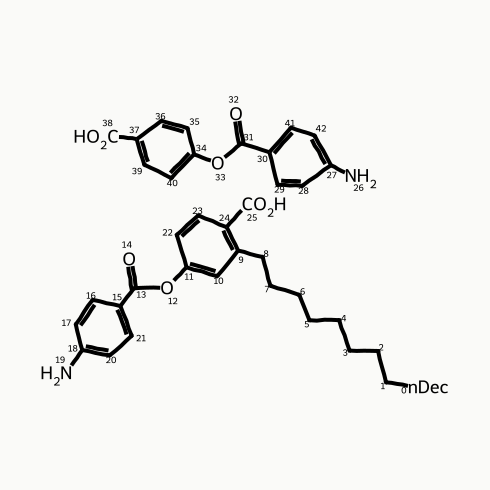 CCCCCCCCCCCCCCCCCCc1cc(OC(=O)c2ccc(N)cc2)ccc1C(=O)O.Nc1ccc(C(=O)Oc2ccc(C(=O)O)cc2)cc1